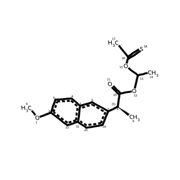 COc1ccc2cc([C@H](C)C(=O)OC(C)OC(C)=S)ccc2c1